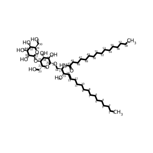 CCCCCCCCCCCCC/C=C/[C@H](O)[C@@H](CO[C@@H]1O[C@H](CO)[C@@H](O[C@@H]2O[C@H](CO)[C@H](O)[C@H](O)[C@H]2O)[C@H](O)[C@H]1O)NC(=O)CCCCCCCCCCCCCCC